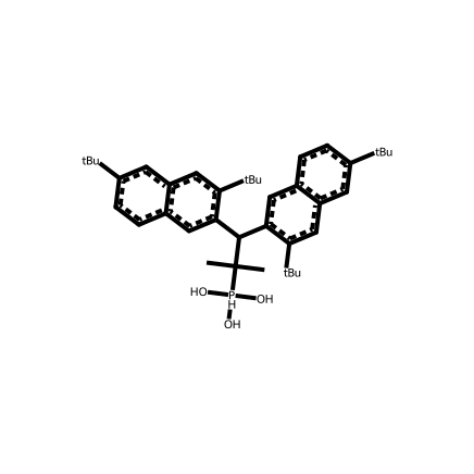 CC(C)(C)c1ccc2cc(C(c3cc4ccc(C(C)(C)C)cc4cc3C(C)(C)C)C(C)(C)[PH](O)(O)O)c(C(C)(C)C)cc2c1